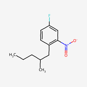 CCCC(C)Cc1ccc(F)cc1[N+](=O)[O-]